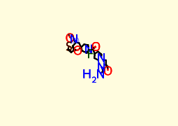 CO/N=C1/CC2(CCN(C(=O)C3(F)CCN(Cc4coc(N)n4)CC3)CC2)Oc2ccsc21